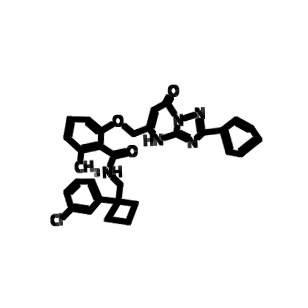 Cc1cccc(OCc2cc(=O)n3nc(-c4ccccc4)nc3[nH]2)c1C(=O)NCC1(c2cccc(Cl)c2)CCC1